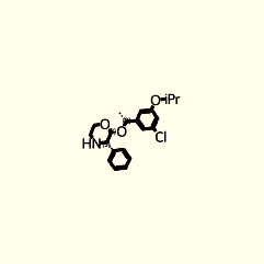 CC(C)Oc1cc(Cl)cc([C@@H](C)O[C@H]2OCCN[C@H]2c2ccccc2)c1